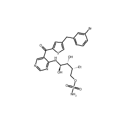 CC[C@H](COS(N)(=O)=O)[C@@H](O)[C@@H](O)Nc1ncncc1C(=O)c1cc(Cc2cccc(Br)c2)cs1